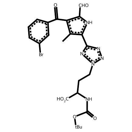 Cc1c(-c2nnn(CCC(NC(=O)OC(C)(C)C)C(=O)O)n2)[nH]c(C=O)c1C(=O)c1cccc(Br)c1